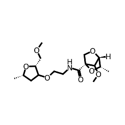 COC[C@H]1O[C@@H](C)CC1OCCNC(=O)[C@]12CO[C@@H](C1OC)[C@H](C)O2